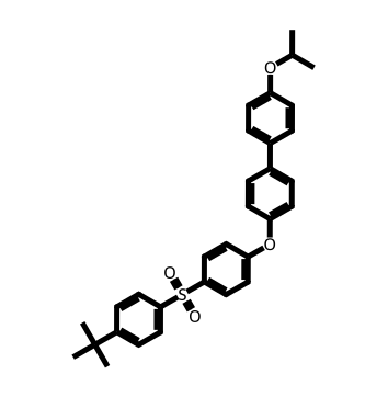 CC(C)Oc1ccc(-c2ccc(Oc3ccc(S(=O)(=O)c4ccc(C(C)(C)C)cc4)cc3)cc2)cc1